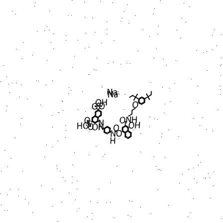 CCC(C)(C)c1ccc(OCCCCNC(=O)c2cc(OC(=O)Nc3ccc(N=Nc4c(O)c(S(=O)(=O)O)cc5cc(S(=O)(=O)O)ccc45)cc3)c3ccccc3c2O)c(C(C)(C)CC)c1.[Na].[Na]